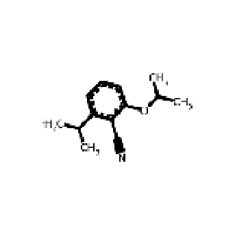 [CH2]C(C)c1cccc(OC(C)C)c1C#N